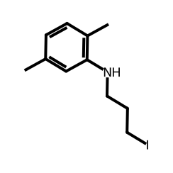 Cc1ccc(C)c(NCCCI)c1